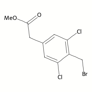 COC(=O)Cc1cc(Cl)c(CBr)c(Cl)c1